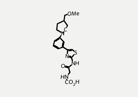 COCC1CCN(c2cccc(-c3csc(NC(=O)CNC(=O)O)n3)c2)CC1